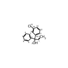 C=CC(O)(c1ccccc1)c1cccc(Cl)c1